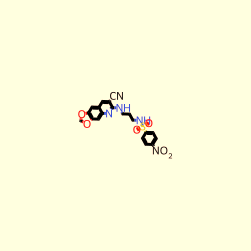 N#Cc1cc2cc3c(cc2nc1NCCCNS(=O)(=O)c1ccc([N+](=O)[O-])cc1)OCO3